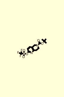 CC(C)(C)OC(=O)N1CCc2nc(OS(=O)(=O)C(F)(F)F)ccc2C1